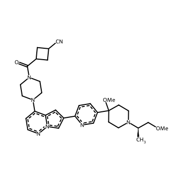 COC[C@@H](C)N1CCC(OC)(c2ccc(-c3cc4c(N5CCN(C(=O)C6CC(C#N)C6)CC5)ccnn4c3)nc2)CC1